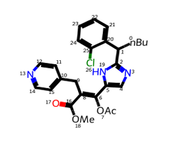 CCCCC(c1ncc(C(OC(C)=O)=C(Cc2ccncc2)C(=O)OC)[nH]1)c1ccccc1Cl